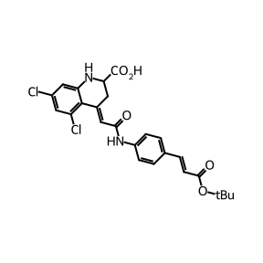 CC(C)(C)OC(=O)/C=C/c1ccc(NC(=O)/C=C2\CC(C(=O)O)Nc3cc(Cl)cc(Cl)c32)cc1